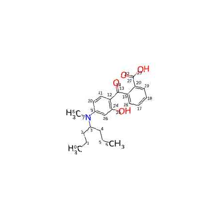 CCCC(CCC)N(C)c1ccc(C(=O)c2ccccc2C(=O)O)c(O)c1